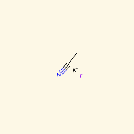 CC#N.[I-].[K+]